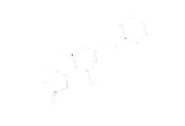 O=C1CN(c2c(O)cc(CNC3CCCNC3)cc2F)S(=O)(=O)N1